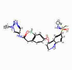 CC(C)(C)n1cc(NC(=O)Cc2ccc(Oc3ccnc4ccc(S(C)(=O)=NC#N)cc34)cc2F)cn1